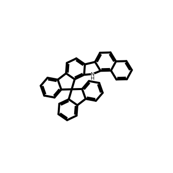 c1ccc2c(c1)-c1ccccc1C21c2ccccc2-c2ccc3c([nH]c4c5ccccc5ccc34)c21